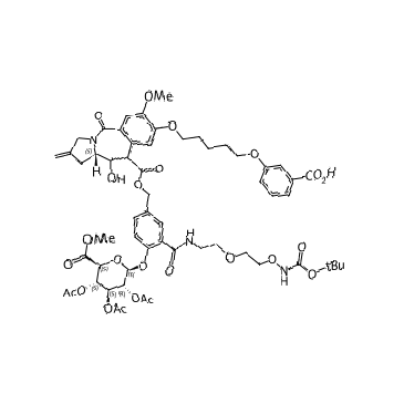 C=C1C[C@H]2C(O)C(C(=O)OCc3ccc(O[C@@H]4O[C@H](C(=O)OC)[C@@H](OC(C)=O)[C@H](OC(C)=O)[C@H]4OC(C)=O)c(C(=O)NCCOCCONC(=O)OC(C)(C)C)c3)c3cc(OCCCCCOc4cccc(C(=O)O)c4)c(OC)cc3C(=O)N2C1